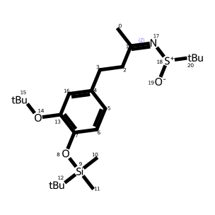 C/C(CCc1ccc(O[Si](C)(C)C(C)(C)C)c(OC(C)(C)C)c1)=N/[S+]([O-])C(C)(C)C